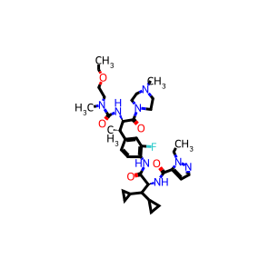 CCOCCN(C)C(=O)N[C@@H](C(=O)N1CCN(C)CC1)[C@@H](C)c1ccc(NC(=O)[C@@H](NC(=O)c2ccnn2CC)C(C2CC2)C2CC2)c(F)c1